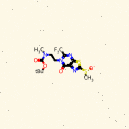 CN(CCn1c(C(F)(F)F)nc2sc([S+](C)[O-])nc2c1=O)C(=O)OC(C)(C)C